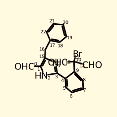 O=Cc1[nH]c(-c2ccccc2C(Br)(C=O)C=O)nc1Cc1ccccc1